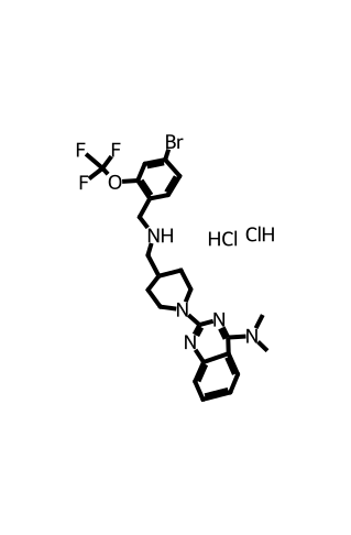 CN(C)c1nc(N2CCC(CNCc3ccc(Br)cc3OC(F)(F)F)CC2)nc2ccccc12.Cl.Cl